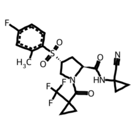 Cc1cc(F)ccc1S(=O)(=O)[C@@H]1C[C@@H](C(=O)NC2(C#N)CC2)N(C(=O)C2(C(F)(F)F)CC2)C1